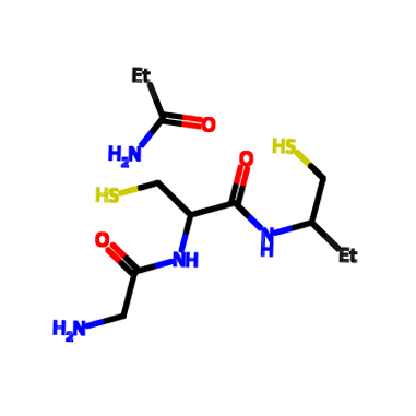 CCC(CS)NC(=O)C(CS)NC(=O)CN.CCC(N)=O